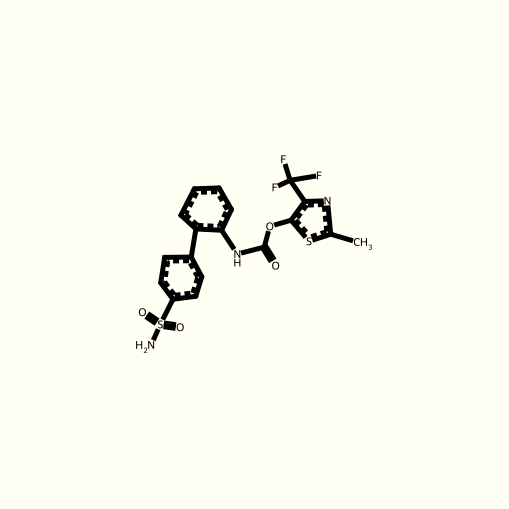 Cc1nc(C(F)(F)F)c(OC(=O)Nc2ccccc2-c2ccc(S(N)(=O)=O)cc2)s1